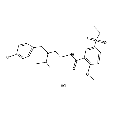 CCS(=O)(=O)c1ccc(OC)c(C(=O)NCCN(Cc2ccc(Cl)cc2)C(C)C)c1.Cl